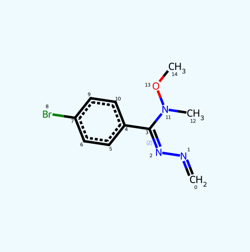 C=N/N=C(/c1ccc(Br)cc1)N(C)OC